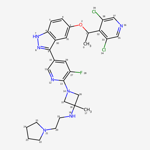 CC(Oc1ccc2[nH]nc(-c3cnc(N4CC(C)(NCCN5CCCC5)C4)c(F)c3)c2c1)c1c(Cl)cncc1Cl